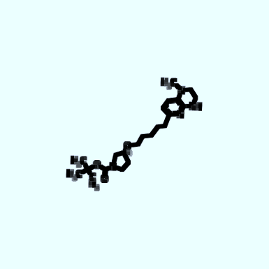 CN1CCNc2nc(CCCCCO[C@@H]3CCN(C(=O)OC(C)(C)C)C3)ccc21